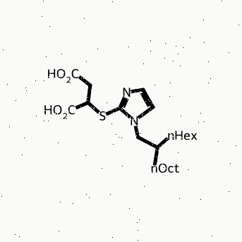 CCCCCCCCC(CCCCCC)Cn1ccnc1SC(CC(=O)O)C(=O)O